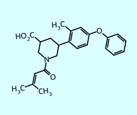 CC(C)=CC(=O)N1CC(C(=O)O)CC(c2ccc(Oc3ccccc3)cc2C)C1